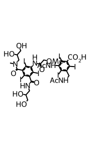 CC(=O)NCc1c(I)c(NC(C)=O)c(I)c(C(=O)O)c1I.COCC(=O)Nc1c(I)c(C(=O)NCC(O)CO)c(I)c(C(=O)N(C)CC(O)CO)c1I